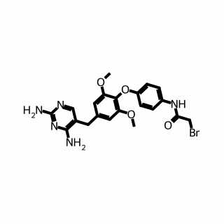 COc1cc(Cc2cnc(N)nc2N)cc(OC)c1Oc1ccc(NC(=O)CBr)cc1